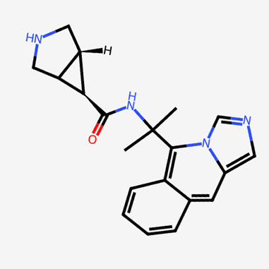 CC(C)(NC(=O)[C@H]1C2CNC[C@@H]21)c1c2ccccc2cc2cncn12